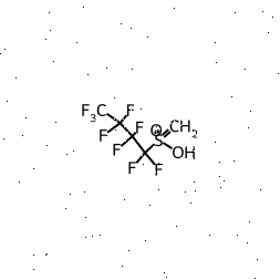 C=S(=O)(O)C(F)(F)C(F)(F)C(F)(F)C(F)(F)F